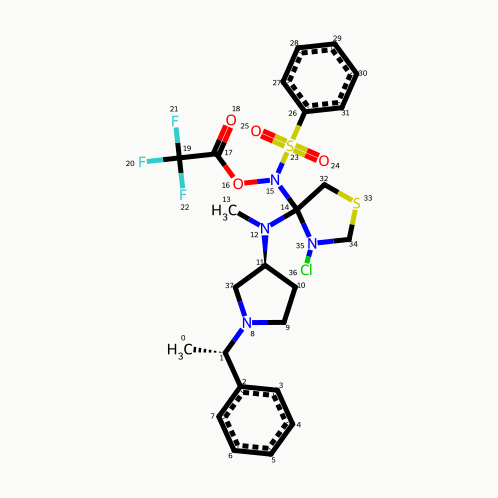 C[C@@H](c1ccccc1)N1CC[C@H](N(C)C2(N(OC(=O)C(F)(F)F)S(=O)(=O)c3ccccc3)CSCN2Cl)C1